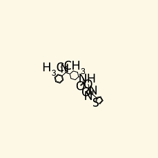 CN(C)C(c1ccccc1)C1CCC(NC(=O)Oc2nc(-c3cccs3)no2)CC1